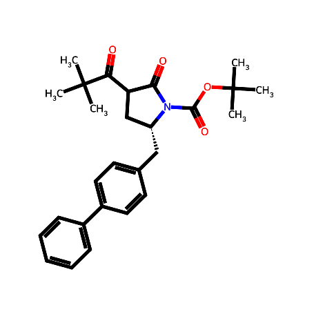 CC(C)(C)OC(=O)N1C(=O)C(C(=O)C(C)(C)C)C[C@H]1Cc1ccc(-c2ccccc2)cc1